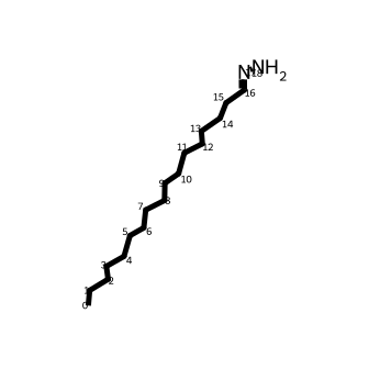 CCCCCCCCCCCCCCCCC=NN